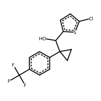 OC(c1ccc(Cl)s1)C1(c2ccc(C(F)(F)F)cc2)CC1